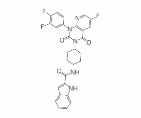 O=C(N[C@H]1CC[C@@H](n2c(=O)c3cc(F)cnc3n(-c3ccc(F)c(F)c3)c2=O)CC1)c1cc2ccccc2[nH]1